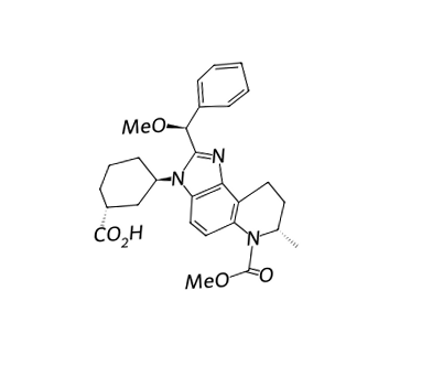 COC(=O)N1c2ccc3c(nc([C@@H](OC)c4ccccc4)n3[C@@H]3CCC[C@@H](C(=O)O)C3)c2CC[C@@H]1C